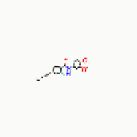 O=C(Nc1ccc2c(c1)OCCO2)c1ccc(C#CC2CC2)cc1F